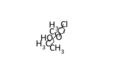 Cc1c(C(O)CC(C)C)oc2ccc(Cl)cc12